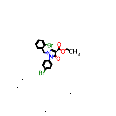 CCOC(=O)c1cn(Cc2ccccc2Br)n(-c2ccc(Br)cc2)c1=O